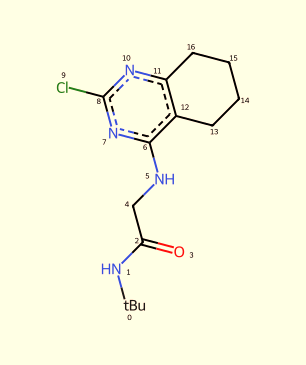 CC(C)(C)NC(=O)CNc1nc(Cl)nc2c1CCCC2